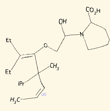 C/C=C\C(C)(C(OCC(O)N1CCCC1C(=O)O)=C(CC)CC)C(C)C